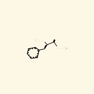 O=C(O)C(=O)/C(=C/c1ccccc1)C(=O)O